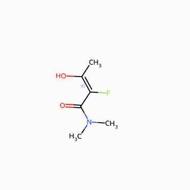 C/C(O)=C(\F)C(=O)N(C)C